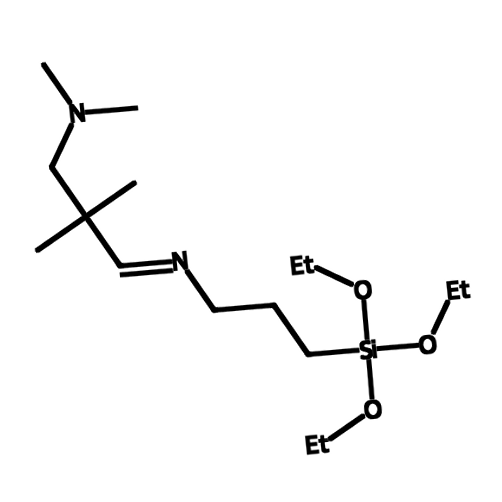 CCO[Si](CCCN=CC(C)(C)CN(C)C)(OCC)OCC